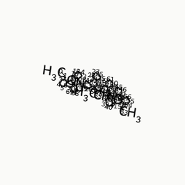 CCc1cccc2c1oc1c(N(c3ccccc3)c3ccc4c5c(c6ccccc6c4c3)-c3c(cc(N(c4ccccc4)c4cccc6c4oc4c(CC)cccc46)c4ccccc34)C5(C)C)cccc12